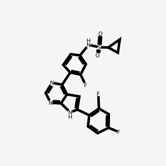 O=S(=O)(Nc1ccc(-c2ncnc3[nH]c(-c4ccc(F)cc4F)cc23)c(F)c1)C1CC1